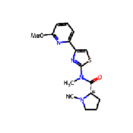 COc1cccc(-c2csc(N(C)C(=O)[C@@H]3CCCN3C#N)n2)n1